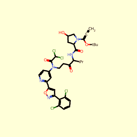 C=C=C(OC(C)(C)C)N1CC(O)CC1C(=O)NC(C(=O)CCN(C(=O)C(Cl)Cl)c1ccnc(-c2cc(-c3c(Cl)cccc3Cl)no2)c1)C(C)C